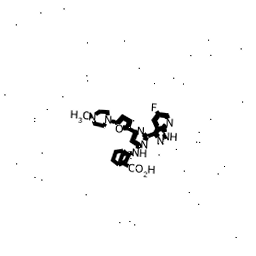 CN1CCN(c2ccc(-c3cc(NC4C5CCC(CC5)C4C(=O)O)nc(-c4n[nH]c5ncc(F)cc45)n3)o2)CC1